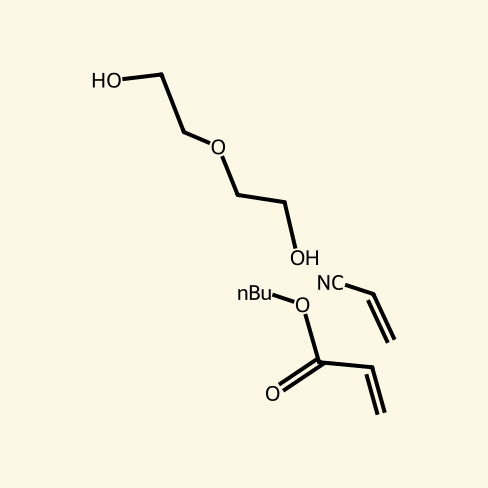 C=CC#N.C=CC(=O)OCCCC.OCCOCCO